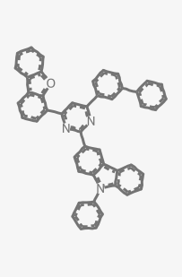 c1ccc(-c2cccc(-c3cc(-c4cccc5c4oc4ccccc45)nc(-c4ccc5c(c4)c4ccccc4n5-c4ccccc4)n3)c2)cc1